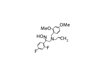 C=CCN(C/C(=N/O)c1ccc(F)cc1F)Cc1ccc(OC)cc1OC